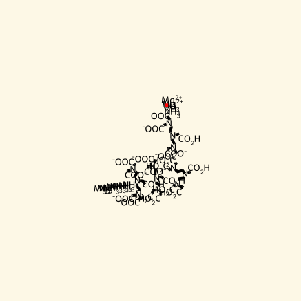 N.N.N.N.N.N.N.N.N.N.O=C(O)CN(CCN(CC(=O)O)CC(=O)O)CCN(CC(=O)O)CC(=O)O.O=C([O-])CN(CCN(CCN(CC(=O)O)CC(=O)O)CC(=O)O)CC(=O)[O-].O=C([O-])CN(CCN(CCN(CC(=O)[O-])CC(=O)[O-])CC(=O)O)CC(=O)[O-].O=C([O-])CN(CCN(CCN(CC(=O)[O-])CC(=O)[O-])CC(=O)O)CC(=O)[O-].[Mg+2].[Mg+2].[Mg+2].[Mg+2].[Mg+2]